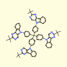 CC(C)(C)c1ncc2c(n1)c1ccccc1n2-c1ccc(C(c2ccc(-n3c4ccccc4c4nc(C(C)(C)C)ncc43)cc2)(c2ccc(-n3c4ccccc4c4nc(C(C)(C)C)ncc43)cc2)c2ccc(-n3c4ccccc4c4nc(C(C)(C)C)ncc43)cc2)cc1